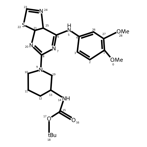 COc1ccc(NC2=NC(N3CCCC(NC(=O)OC(C)(C)C)C3)=NC3SC=NC23)cc1OC